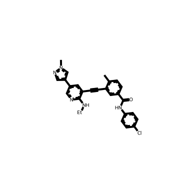 CCNc1ncc(-c2cnn(C)c2)cc1C#Cc1cc(C(=O)Nc2ccc(Cl)cc2)ccc1C